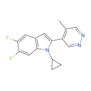 Cc1cnncc1-c1cc2cc(F)c(F)cc2n1C1CC1